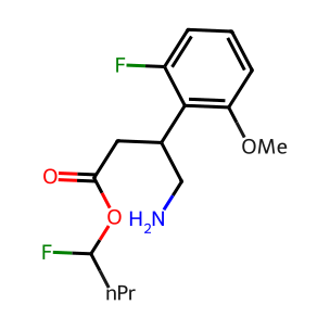 CCCC(F)OC(=O)CC(CN)c1c(F)cccc1OC